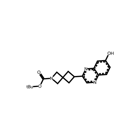 CC(C)(C)OC(=O)N1CC2(CC(c3cnc4ccc(O)cc4n3)C2)C1